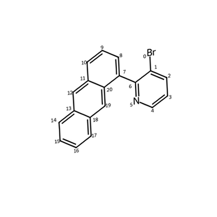 Brc1cccnc1-c1cccc2cc3ccccc3cc12